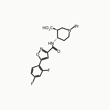 CC(C)N1CC[C@H](NC(=O)c2cc(-c3ccc(F)cc3F)on2)[C@@H](C(=O)O)C1